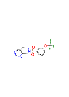 O=S(=O)(c1cccc(OC(F)(F)F)c1)N1CCc2[c]ncnc2C1